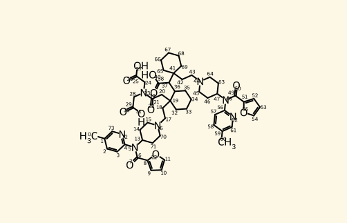 Cc1ccc(N(C(=O)c2ccco2)C2CCN(CCC3(CC(=O)N(CC(=O)O)CC(=O)O)CCCCC3C(C(=O)O)C3(CCN4CCC(N(C(=O)c5ccco5)c5ccc(C)cn5)CC4)CCCCC3)CC2)nc1